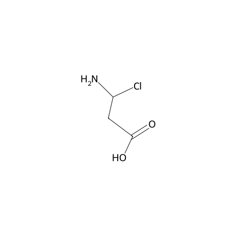 NC(Cl)CC(=O)O